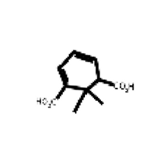 CC1(C)C(C(=O)O)=CC=CC1C(=O)O